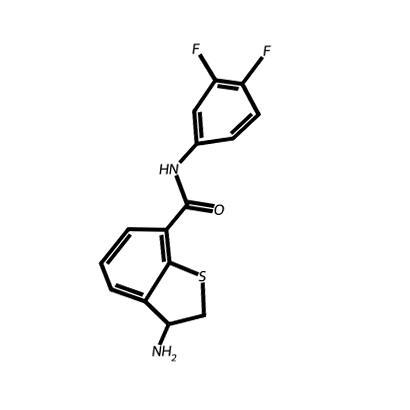 NC1CSc2c(C(=O)Nc3ccc(F)c(F)c3)cccc21